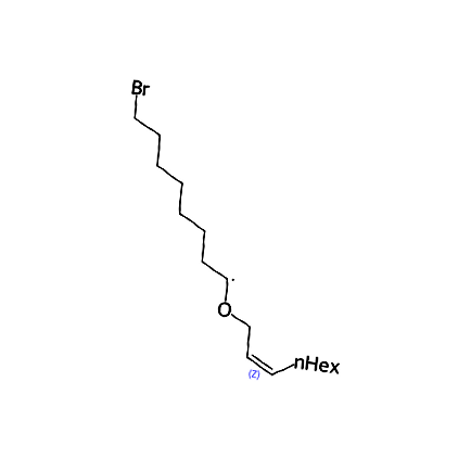 CCCCCC/C=C\CO[CH]CCCCCCCBr